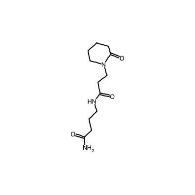 NC(=O)CCCNC(=O)CCN1CCCCC1=O